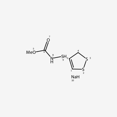 C1=CSSC1.COC(=O)NS.[NaH]